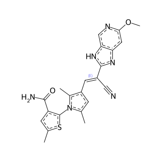 COc1cc2nc(/C(C#N)=C/c3cc(C)n(-c4sc(C)cc4C(N)=O)c3C)[nH]c2cn1